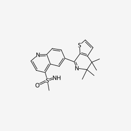 CC1(C)N=C(c2ccc3nccc(S(C)(=N)=O)c3c2)c2sccc2C1(C)C